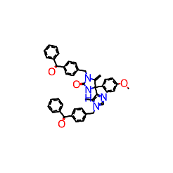 C=C1N(Cc2ccc(C(=O)c3ccccc3)cc2)C(=O)NC1(c1ccc(OC)cc1)c1ncn(Cc2ccc(C(=O)c3ccccc3)cc2)c1C